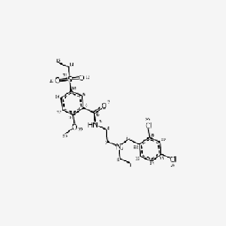 CCN(CCNC(=O)c1cc(S(=O)(=O)CC)ccc1OC)Cc1ccc(Cl)cc1Cl